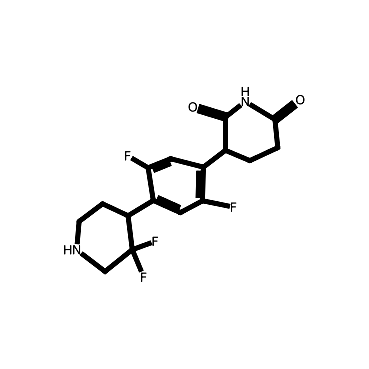 O=C1CCC(c2cc(F)c(C3CCNCC3(F)F)cc2F)C(=O)N1